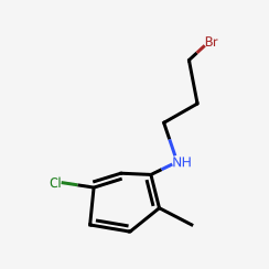 Cc1ccc(Cl)cc1NCCCBr